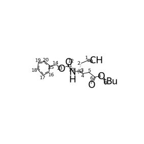 C#CC[C@H](CCC(=O)OC(C)(C)C)NC(=O)OCc1ccccc1